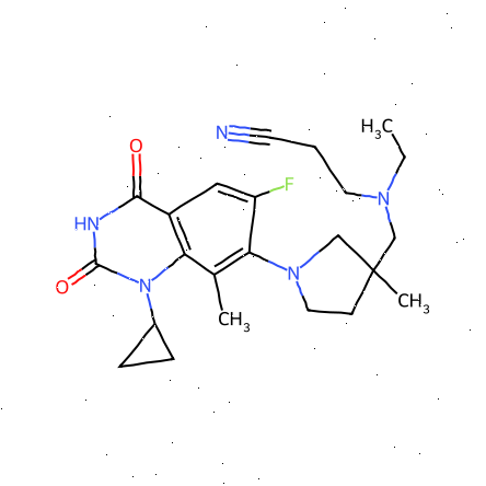 CCN(CCC#N)CC1(C)CCN(c2c(F)cc3c(=O)[nH]c(=O)n(C4CC4)c3c2C)C1